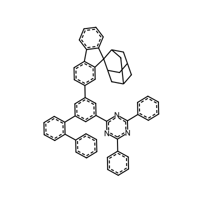 c1ccc(-c2nc(-c3ccccc3)nc(-c3cc(-c4ccc5c(c4)C4(c6ccccc6-5)C5CC6CC(C5)CC4C6)cc(-c4ccccc4-c4ccccc4)c3)n2)cc1